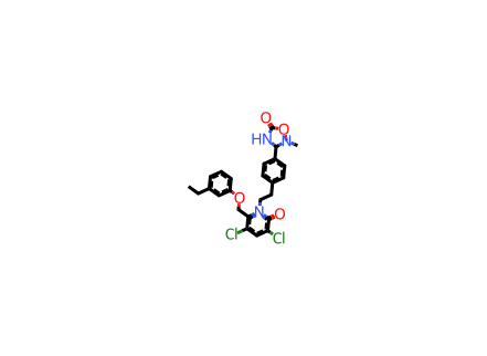 CCc1cccc(OCc2c(Cl)cc(Cl)c(=O)n2CCc2ccc(C3NC(=O)ON3C)cc2)c1